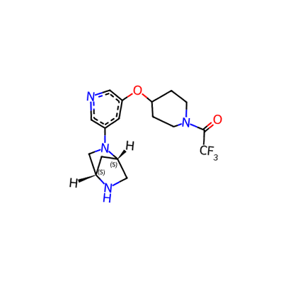 O=C(N1CCC(Oc2cncc(N3C[C@@H]4C[C@H]3CN4)c2)CC1)C(F)(F)F